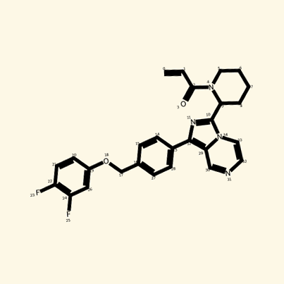 C=CC(=O)N1CCCCC1c1nc(-c2ccc(COc3ccc(F)c(F)c3)cc2)c2cnccn12